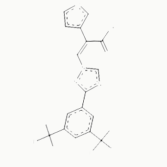 O=C(O)C(=Cn1cnc(-c2cc(C(F)(F)F)cc(C(F)(F)F)c2)n1)c1ccoc1